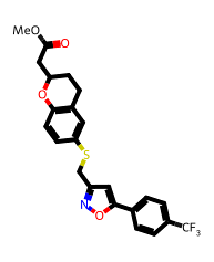 COC(=O)CC1CCc2cc(SCc3cc(-c4ccc(C(F)(F)F)cc4)on3)ccc2O1